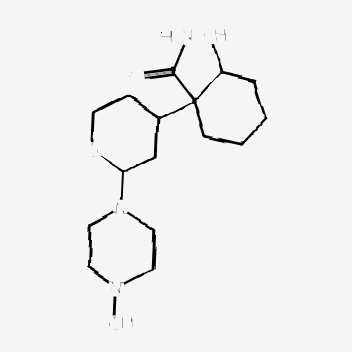 CC1CCCCC1(C(N)=O)C1CCOC(N2CCN(C)CC2)C1